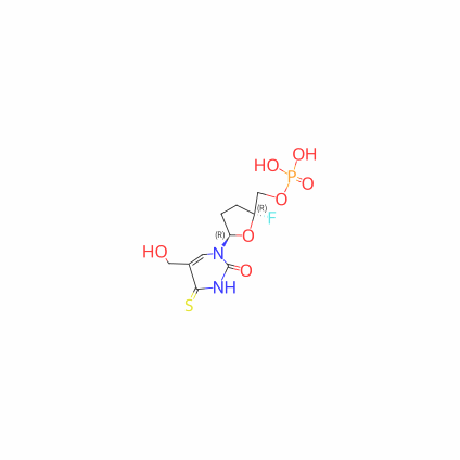 O=c1[nH]c(=S)c(CO)cn1[C@H]1CC[C@@](F)(COP(=O)(O)O)O1